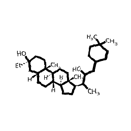 CC[C@]1(O)CC[C@@]2(C)[C@H](CC[C@@H]3[C@@H]2CC[C@]2(C)[C@@H](C(C)C(O)CC4CCC(C)(C)CC4)CC[C@@H]32)C1